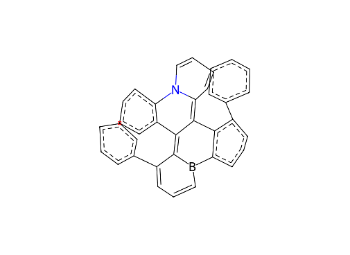 C1=CB2C(=C3C(=C4C=CC=CN4c4ccccc43)c3c2cccc3-c2ccccc2)C(c2ccccc2)=C1